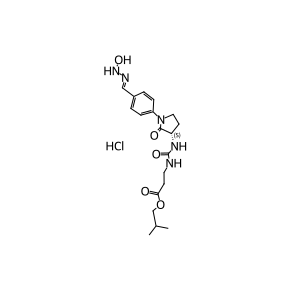 CC(C)COC(=O)CCNC(=O)N[C@H]1CCN(c2ccc(C=NNO)cc2)C1=O.Cl